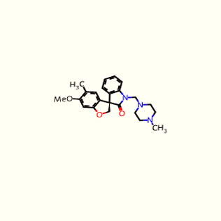 COc1cc2c(cc1C)[C@@]1(CO2)C(=O)N(CN2CCN(C)CC2)c2ccccc21